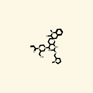 C=CC(=O)N1CCN(C2NC(OCC3CCCN3C)NC3C[C@@]4(CCC32)Cc2ccccc2N(C)C4Cl)CC1CC#N